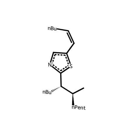 CCCC/C=C\c1cnc([C@@H](CCCC)[C@@H](C)CCCCC)s1